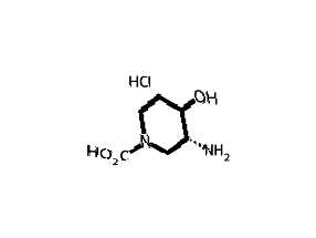 Cl.N[C@@H]1CN(C(=O)O)CCC1O